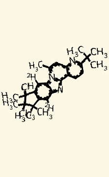 [2H]c1c2c(c([2H])c3c1nc1c4ccc(C(C)(C)C)nc4cc(C)n13)C(C)(C)C(C)(C)C2(C)C